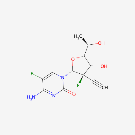 C#C[C@@]1(F)C(O)[C@@H]([C@@H](C)O)O[C@H]1n1cc(F)c(N)nc1=O